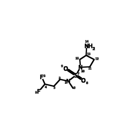 CN(CCC(F)F)S(=O)(=O)N1CCC(N)C1